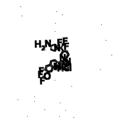 Cl.Cl.NC1CCN([C@H](c2ccc3nnc(-c4ccc5cc(F)c(OC(F)F)cc5n4)n3c2)C(F)(F)F)C1